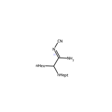 CCCCCCCC(CCCCCC)/C(N)=N/C#N